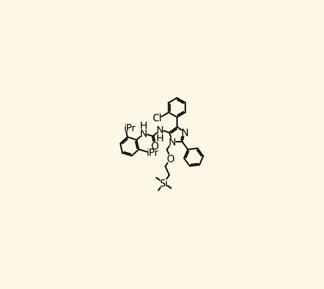 CC(C)c1cccc(C(C)C)c1NC(=O)Nc1c(-c2ccccc2Cl)nc(-c2ccccc2)n1COCC[Si](C)(C)C